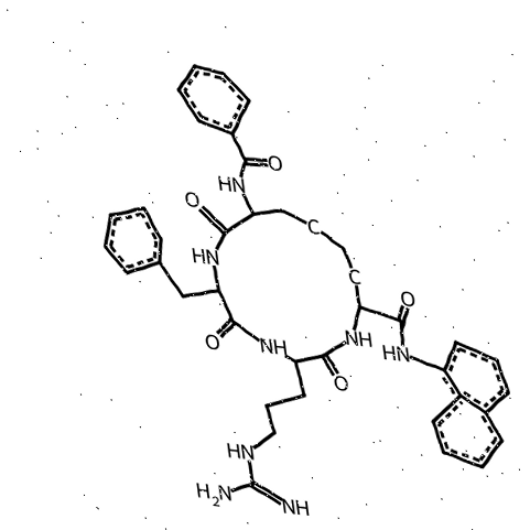 N=C(N)NCCCC1NC(=O)C(Cc2ccccc2)NC(=O)C(NC(=O)c2ccccc2)CCCCC(C(=O)Nc2cccc3ccccc23)NC1=O